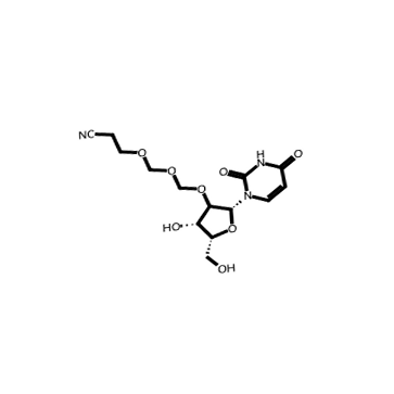 N#CCCOCOCOC1[C@@H](O)[C@@H](CO)O[C@H]1n1ccc(=O)[nH]c1=O